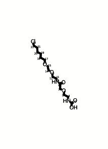 O=C(O)NCCOCC(=O)NCCOCCOCCCCCCCl